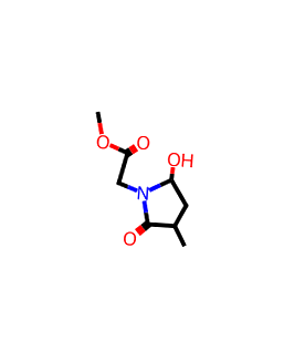 COC(=O)CN1C(=O)C(C)CC1O